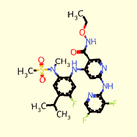 CCONC(=O)c1cnc(Nc2ncc(F)cc2F)cc1Nc1cc(F)c(C(C)C)cc1N(C)S(C)(=O)=O